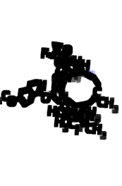 COc1ccc2c(O[C@@H]3C[C@H]4C(=O)N[C@]5(C(=O)NS(=O)(=O)C6(CF)CC6)C[C@H]5/C=C\CC[C@@H](C)C[C@@H](C)[C@H](N(C(=O)O)C(C)(C)C(C)(F)F)C(=O)N4C3)nccc2c1